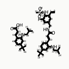 C=Cc1cc(CNC(=O)C=Cc2ccc(C(C)(C)C)cc2NCC(C)C)cc(F)c1NS(C)(=O)=O.CC(C)CNc1cc(C(C)(C)C)ccc1C=CC(=O)O